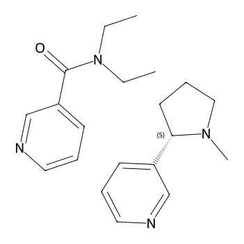 CCN(CC)C(=O)c1cccnc1.CN1CCC[C@H]1c1cccnc1